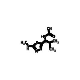 CNc1nnc([C@@H](NC(=O)O)C(C)C)s1